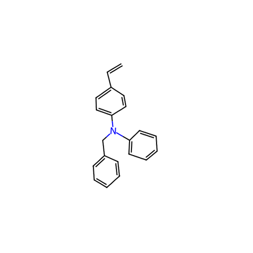 C=Cc1ccc(N(Cc2ccccc2)c2ccccc2)cc1